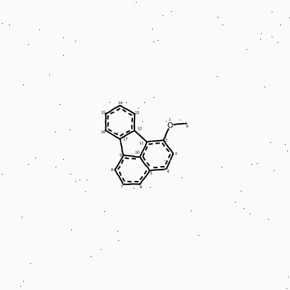 COc1ccc2cccc3c2c1-c1ccccc1-3